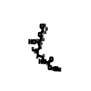 CN(CCNC(=O)OC(C)(C)C)C[C@H](O)COCC(F)(F)F